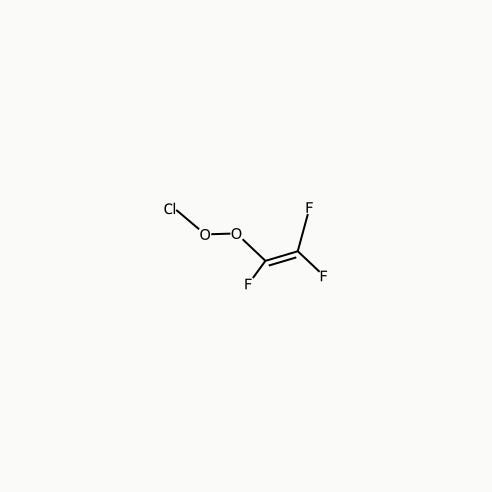 FC(F)=C(F)OOCl